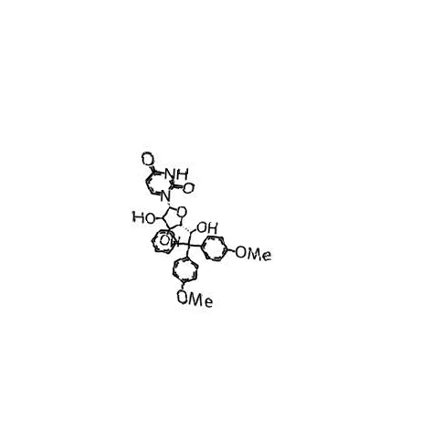 COc1ccc(C(c2ccccc2)(c2ccc(OC)cc2)C(O)[C@H]2O[C@@H](n3ccc(=O)[nH]c3=O)[C@H](O)[C@@H]2O)cc1